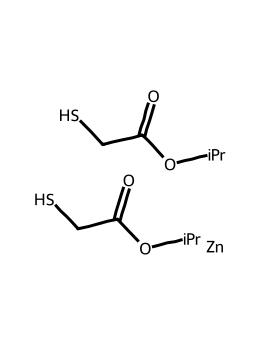 CC(C)OC(=O)CS.CC(C)OC(=O)CS.[Zn]